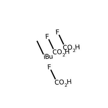 CCC(C)C.O=C(O)F.O=C(O)F.O=C(O)F